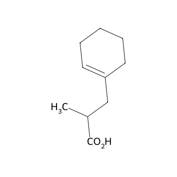 CC(CC1=CCCCC1)C(=O)O